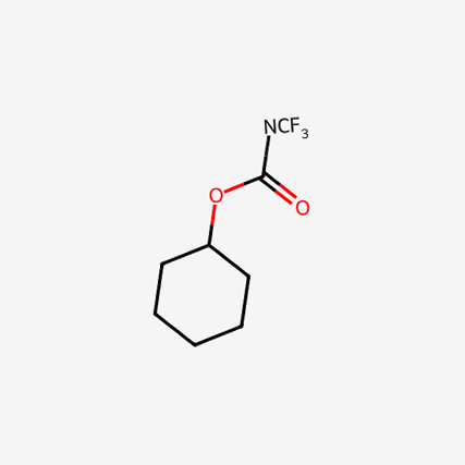 O=C(NC(F)(F)F)OC1CCCCC1